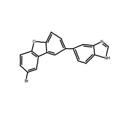 Brc1ccc2oc3ccc(-c4ccc5[nH]cnc5c4)cc3c2c1